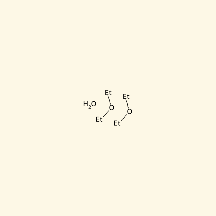 CCOCC.CCOCC.O